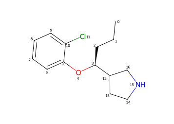 CCC[C@H](Oc1ccccc1Cl)C1CCNC1